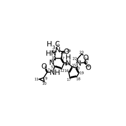 Cn1[nH]c2nc(NC(=O)C3CC3)cc(Nc3ccccc3N3CCOC3=O)c2c1=O